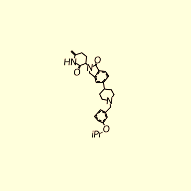 C=C1CCC(N2Cc3cc(C4CCN(Cc5cccc(OC(C)C)c5)CC4)ccc3C2=O)C(=O)N1